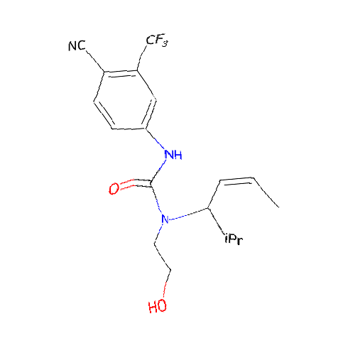 C/C=C\C(C(C)C)N(CCO)C(=O)Nc1ccc(C#N)c(C(F)(F)F)c1